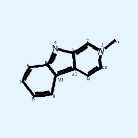 Cn1[c]c2nc3ccccc3c-2cc1